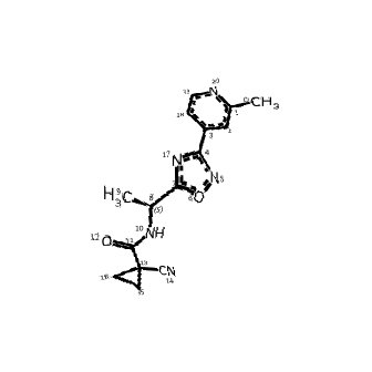 Cc1cc(-c2noc([C@H](C)NC(=O)C3(C#N)CC3)n2)ccn1